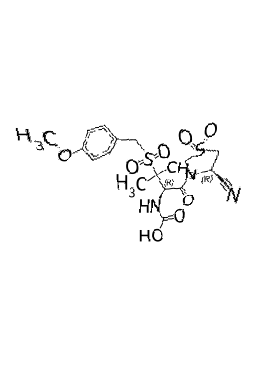 COc1ccc(CS(=O)(=O)C(C)(C)[C@H](NC(=O)O)C(=O)N2CS(=O)(=O)C[C@H]2C#N)cc1